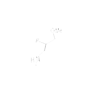 COCC(F)CN